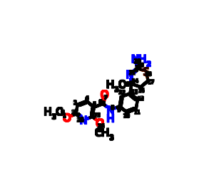 COc1ccc(C(=O)Nc2cccc(C3(C)CCSC(N)=N3)c2)c(OC)n1